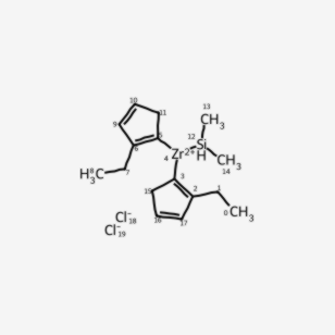 CCC1=[C]([Zr+2]([C]2=C(CC)C=CC2)[SiH](C)C)CC=C1.[Cl-].[Cl-]